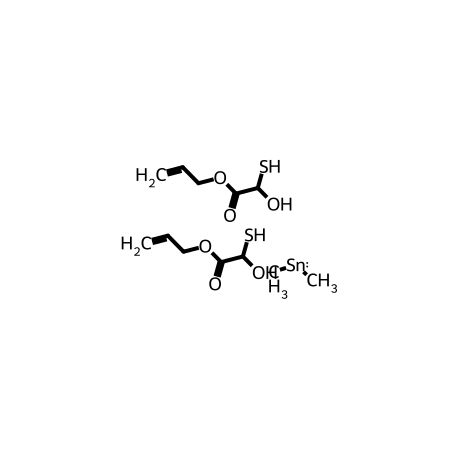 C=CCOC(=O)C(O)S.C=CCOC(=O)C(O)S.[CH3][Sn][CH3]